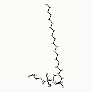 CCCCCCCCCCCCCCCCCCC(COP(=O)(O)OCCNC)CC(C)=O